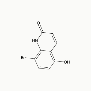 O=c1ccc2c(O)ccc(Br)c2[nH]1